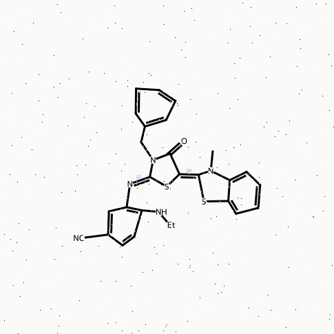 CCNc1ccc(C#N)cc1/N=C1\S/C(=C2\Sc3ccccc3N2C)C(=O)N1Cc1ccccc1